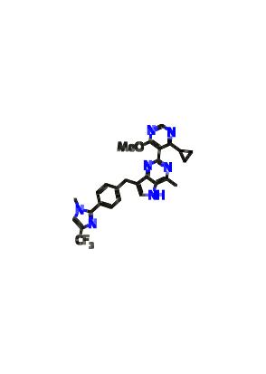 COc1ncnc(C2CC2)c1-c1nc(C)c2[nH]cc(Cc3ccc(-c4nc(C(F)(F)F)cn4C)cc3)c2n1